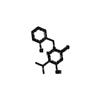 CC(C)c1nn(Cc2ccccc2Cl)c(=O)cc1O